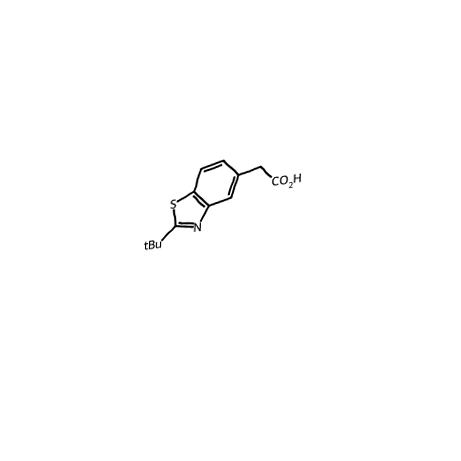 CC(C)(C)c1nc2cc(CC(=O)O)ccc2s1